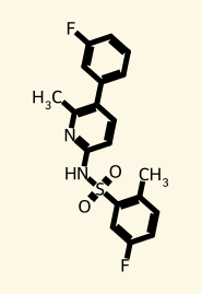 Cc1ccc(F)cc1S(=O)(=O)Nc1ccc(-c2cccc(F)c2)c(C)n1